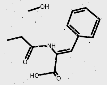 CCC(=O)NC(=Cc1ccccc1)C(=O)O.CO